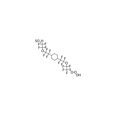 O=S(=O)(O)C(F)(F)C(F)(F)OC(F)(F)C(F)(F)C1CCC(C(F)(F)C(F)(F)OC(F)(F)C(F)(F)SOOO)CC1